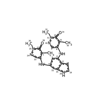 Cc1c(Nc2cc(Nc3cnn(C)c(=O)c3C)c3cc[nH]c3c2)cnn(C)c1=O